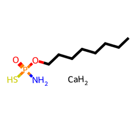 CCCCCCCCOP(N)(=O)S.[CaH2]